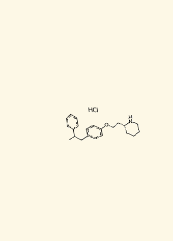 CC(Cc1ccc(OCCC2CCCCN2)cc1)c1ccccc1.Cl